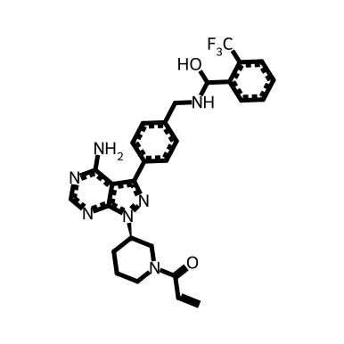 C=CC(=O)N1CCC[C@@H](n2nc(-c3ccc(CNC(O)c4ccccc4C(F)(F)F)cc3)c3c(N)ncnc32)C1